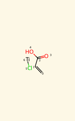 C=CC(=O)O.[Cl][Ti]